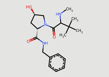 CNC(C(=O)N1C[C@H](O)C[C@H]1C(=O)NCc1ccccc1)C(C)(C)C